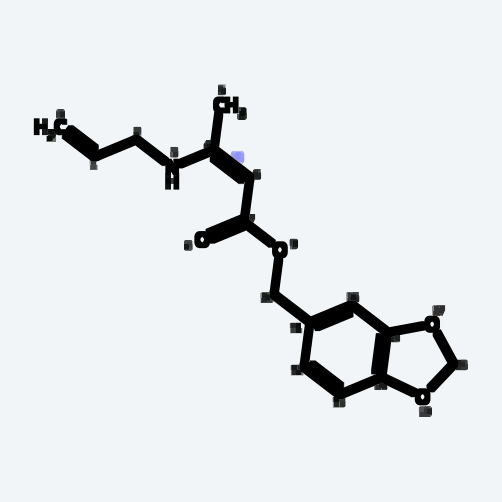 C=CCN/C(C)=C\C(=O)OCc1ccc2c(c1)OCO2